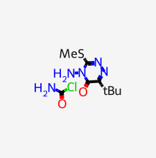 CSc1nnc(C(C)(C)C)c(=O)n1N.NC(=O)Cl